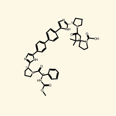 COC(=O)N[C@@H](C(=O)N1CCC[C@H]1c1ncc(-c2ccc(-c3ccc(-c4cnc([C@@H]5CCCN5C(=O)C[C@]5(C(C)(C)C)CCCN5C(=O)O)[nH]4)cc3)cc2)[nH]1)c1ccccc1